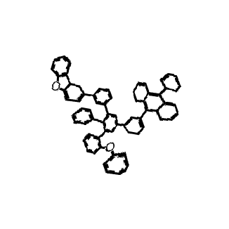 C1=CCC(C2=C3C=CCCC3=C(C3=CCCC(c4cc(-c5cccc(C6=CC=C7Oc8ccccc8C7C6)c5)c(-c5ccccc5)c(-c5ccccc5Oc5ccccc5)c4)=C3)C3CC=CC=C23)C=C1